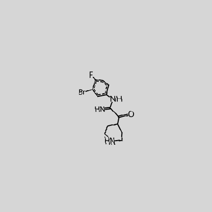 N=C(Nc1ccc(F)c(Br)c1)C(=O)C1CCNCC1